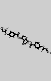 C=CC(=O)Oc1ccc(C(=O)OC2COC3C2OC[C@@H]3OC(=O)c2ccc(OC(=O)C=C)cc2)cc1